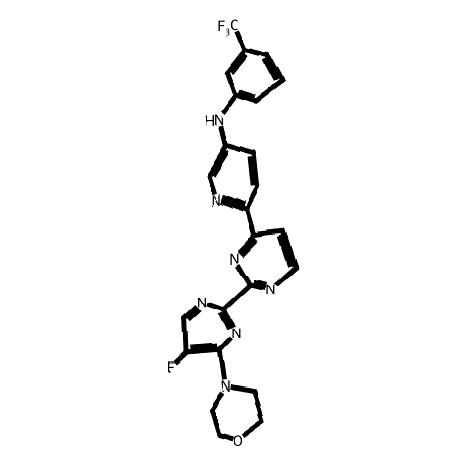 Fc1cnc(-c2nccc(-c3ccc(Nc4cccc(C(F)(F)F)c4)cn3)n2)nc1N1CCOCC1